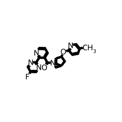 Cc1ccc(OC2CC3CC2N(C(=O)c2cccnc2-c2ncc(F)cn2)C3)nc1